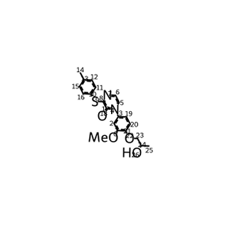 COc1cc(-n2ccnc(Sc3ccc(C)cc3)c2=O)ccc1OCC(C)O